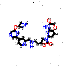 CN1CC(Oc2cncc(-c3ccnc(CNCCC4CN(c5ccc6c(n5)NC(=O)CO6)C(=O)O4)c3)n2)C1